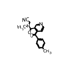 Cc1ccc(C(=O)c2ccncc2C(=O)N(C)CC#N)cc1